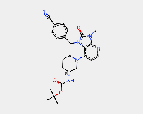 Cn1c(=O)n(Cc2ccc(C#N)cc2)c2c(N3CCC[C@@H](NC(=O)OC(C)(C)C)C3)ccnc21